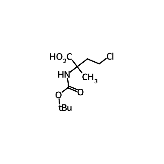 CC(C)(C)OC(=O)NC(C)(CCCl)C(=O)O